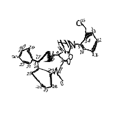 CN1C(=O)C(NC(=O)Nc2ccccc2Cl)N=C(c2ccccc2)c2ccccc21